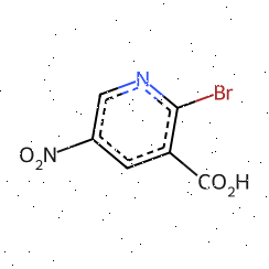 O=C(O)c1cc([N+](=O)[O-])cnc1Br